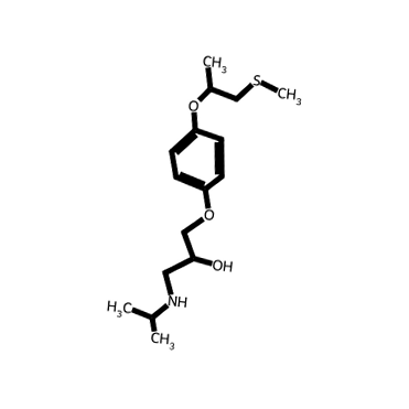 CSCC(C)Oc1ccc(OCC(O)CNC(C)C)cc1